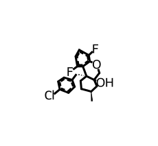 C[C@H]1CC[C@@]2(Cc3ccc(Cl)cc3)c3c(F)ccc(F)c3OC[C@]2(O)C1